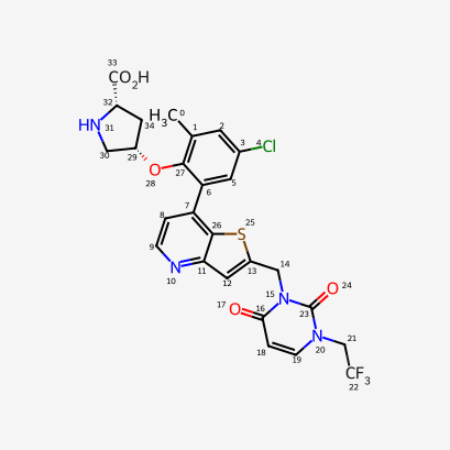 Cc1cc(Cl)cc(-c2ccnc3cc(Cn4c(=O)ccn(CC(F)(F)F)c4=O)sc23)c1O[C@@H]1CN[C@H](C(=O)O)C1